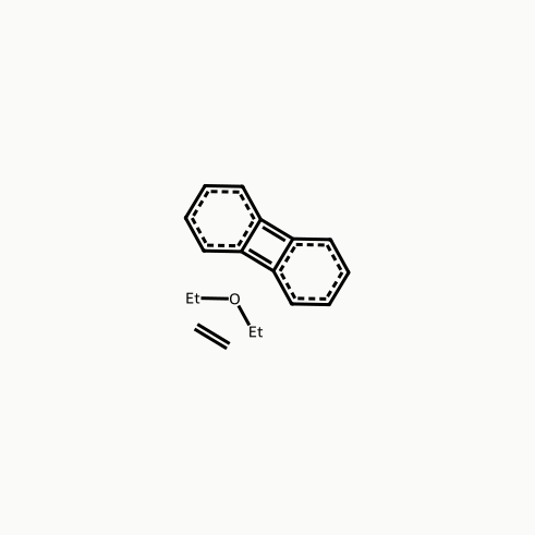 C=C.CCOCC.c1ccc2c(c1)=c1ccccc1=2